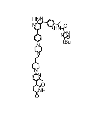 Cc1cc(-c2n[nH]c3ncc(-c4ccc(N5CCN(CCC6CCN(c7ccc(C8CCC(=O)NC8=O)c(C)n7)CC6)CC5)cc4)cc23)ccc1C(C)NC(=O)c1noc(C(C)(C)C)n1